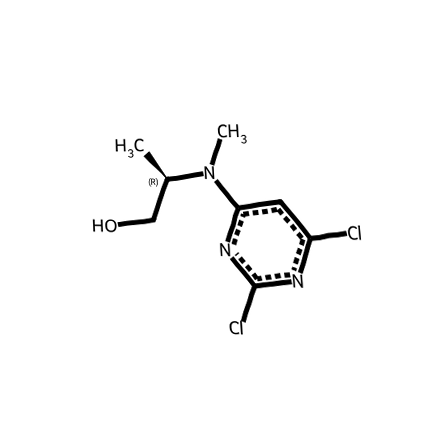 C[C@H](CO)N(C)c1cc(Cl)nc(Cl)n1